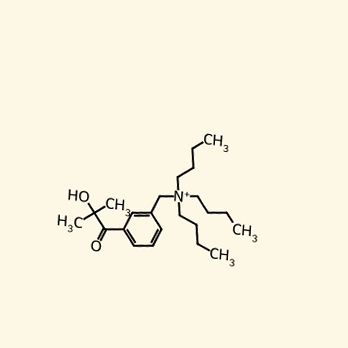 CCCC[N+](CCCC)(CCCC)Cc1cccc(C(=O)C(C)(C)O)c1